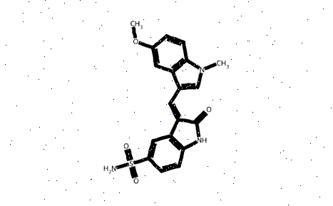 COc1ccc2c(c1)c(/C=C1\C(=O)Nc3ccc(S(N)(=O)=O)cc31)cn2C